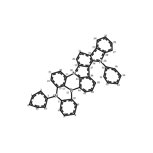 c1ccc(N2c3ccccc3B3c4c2cccc4-n2c4ccc5c6ccccc6n(-c6ccccc6)c5c4c4cccc3c42)cc1